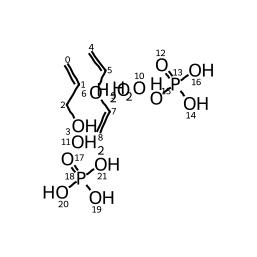 C=CCO.C=COC=C.O.O.O.O=P(O)(O)O.O=P(O)(O)O